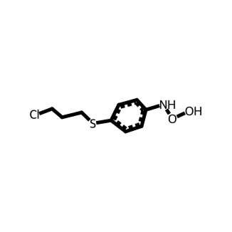 OONc1ccc(SCCCCl)cc1